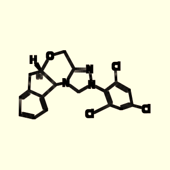 Clc1cc(Cl)c(N2CN3C(=N2)CO[C@H]2Cc4ccccc4C23)c(Cl)c1